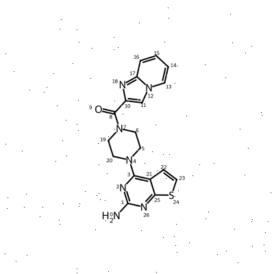 Nc1nc(N2CCN(C(=O)c3cn4ccccc4n3)CC2)c2ccsc2n1